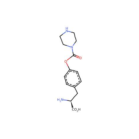 N[C@@H](Cc1ccc(OC(=O)N2CCNCC2)cc1)C(=O)O